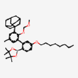 CCCCCCCCOc1ccc(B2OC(C)(C)C(C)(C)O2)c(-c2cc(C)cc(C34CC5CC(CC(C5)C3)C4)c2OCOC)c1